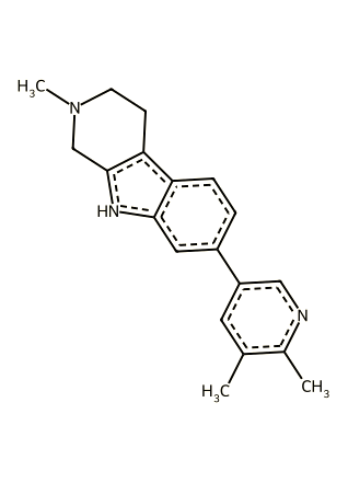 Cc1cc(-c2ccc3c4c([nH]c3c2)CN(C)CC4)cnc1C